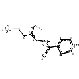 CCC/C(C)=N/NC(=O)c1ccncc1